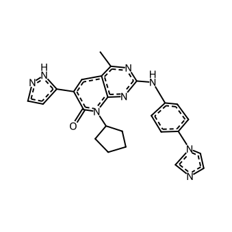 Cc1nc(Nc2ccc(-n3ccnc3)cc2)nc2c1cc(-c1ccn[nH]1)c(=O)n2C1CCCC1